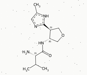 Cc1cnc([C@H]2COC[C@@H]2NC(=O)[C@@H](N)C(C)C)[nH]1